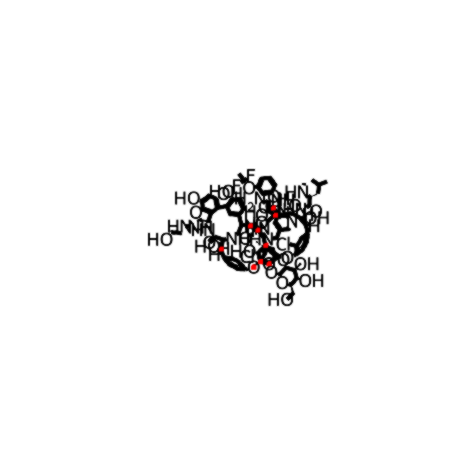 CN[C@H](CC(C)C)C(=O)N[C@H]1C(=O)N[C@@H](CC(N)=O)C(=O)N[C@H]2C(=O)N[C@H]3C(=O)N[C@H](C(=O)N[C@@H](C(=O)NNCCO)c4cc(O)cc(O)c4-c4cc3ccc4O)[C@H](O)c3ccc(c(Cl)c3)Oc3cc2cc(c3O[C@@H]2O[C@H](CO)[C@@H](O)[C@H](O)[C@H]2O[C@H]2C[C@](C)(NCc3cncc(C(=O)Nc4cccc(OC(C)(F)F)c4)c3)[C@H](O)[C@H](C)O2)Oc2ccc(cc2Cl)[C@H]1O